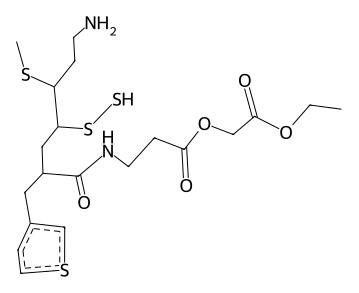 CCOC(=O)COC(=O)CCNC(=O)C(Cc1ccsc1)CC(SS)C(CCN)SC